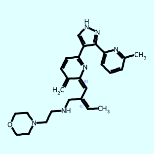 C=c1ccc(-c2c[nH]nc2-c2cccc(C)n2)n/c1=C/C(=C\C)CNCCN1CCOCC1